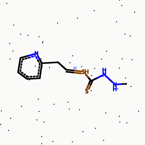 CNNC(=S)/[SH]=C/Cc1ccccn1